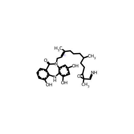 C/C(=C\CN1C(=O)c2cccc(O)c2Nc2c(O)cc(O)cc21)CCCC(C)CCC1OC1(C)C=N